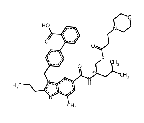 CCCc1nc2c(C)cc(C(=O)N[C@@H](CSC(=O)CCN3CCOCC3)CC(C)C)cc2n1Cc1ccc(-c2ccccc2C(=O)O)cc1